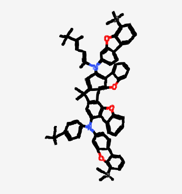 C/C(=C\C=C(/C)C(C)(C)C)N(c1ccc2c(c1)oc1c([Si](C)(C)C)cccc12)c1cc2c(c3oc4ccccc4c13)-c1c(cc(N(c3ccc(C(C)(C)C)cc3)c3ccc4c(c3)oc3c([Si](C)(C)C)cccc34)c3c1oc1ccccc13)C2(C)C